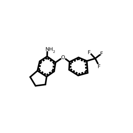 Nc1cc2c(cc1Oc1cccc(C(F)(F)F)c1)CCC2